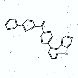 C=C(c1ccc(-c2ccccc2)cc1)c1ccc(-c2cccc3sc4ccccc4c23)cc1